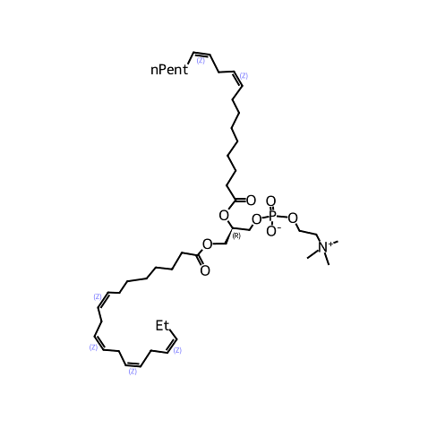 CC/C=C\C/C=C\C/C=C\C/C=C\CCCCCCC(=O)OC[C@H](COP(=O)([O-])OCC[N+](C)(C)C)OC(=O)CCCCCCC/C=C\C/C=C\CCCCC